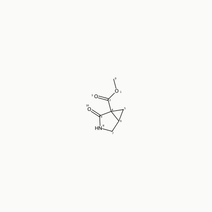 COC(=O)C12CC1CNC2=O